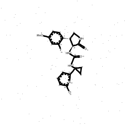 COc1ccc([C@@H]2CNC(=O)[C@H]2NC(=O)NC2(c3cccc(Cl)n3)CC2)c(F)c1